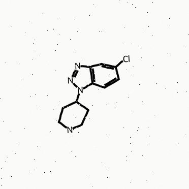 Clc1ccc2c(c1)nnn2C1CC[N]CC1